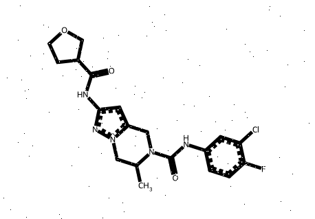 CC1Cn2nc(NC(=O)C3CCOC3)cc2CN1C(=O)Nc1ccc(F)c(Cl)c1